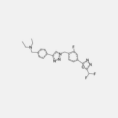 CCN(CC)Cc1ccc(-c2cn(Cc3ccc(-c4nnc(C(F)F)o4)cc3F)nn2)cc1